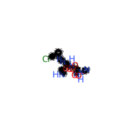 CN1CCC(Nc2ccc(S(=O)(=O)NC(=O)c3ccc(N4CCN(CC5=C(c6ccc(Cl)cc6)CCCCC5)CC4)cc3Oc3cccc4[nH]ccc34)cc2[N+](=O)[O-])CC1